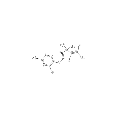 N#Cc1cc([N+](=O)[O-])ccc1NC1=NC(C(F)(F)F)(C(F)(F)F)C(=C(F)C(F)(F)F)S1